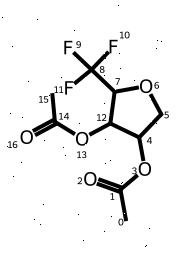 CC(=O)OC1COC(C(F)(F)F)C1OC(C)=O